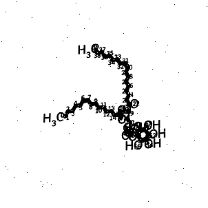 CCCCCC/C=C\CCCCCCCC(=O)O[C@H](COC(=O)CCCCCCC/C=C\CCCCCCCC)COP(=O)(O)OC1C(O)C(O)C(O)[C@@H](O)C1O